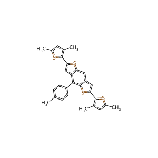 Cc1ccc(-c2c3cc(-c4sc(C)cc4C)sc3cc3cc(-c4sc(C)cc4C)sc23)cc1